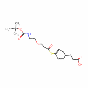 CC(C)(C)OC(=O)NCCOCCC(=O)SC1=CCC(CCC(=O)O)C=C1